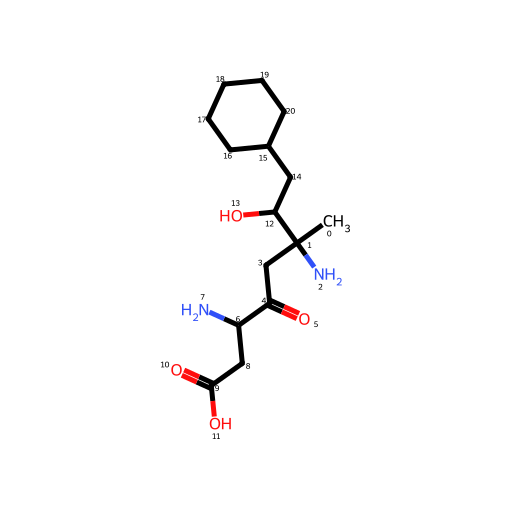 CC(N)(CC(=O)C(N)CC(=O)O)C(O)CC1CCCCC1